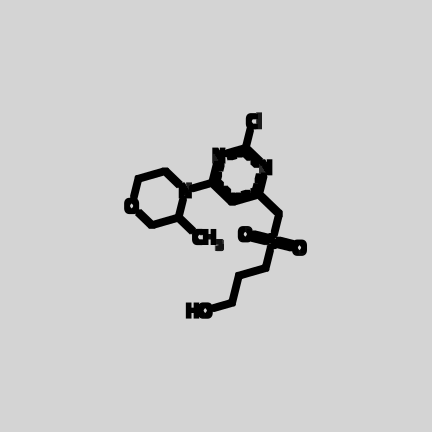 CC1COCCN1c1cc(CS(=O)(=O)CCCO)nc(Cl)n1